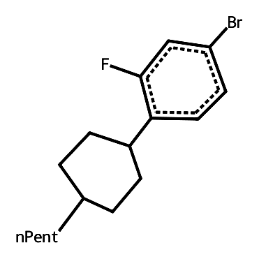 CCCCCC1CCC(c2ccc(Br)cc2F)CC1